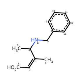 C/C(=C/C(=O)O)C(C)NCc1ccccc1